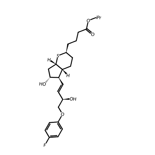 CC(C)OC(=O)CCC[C@H]1CC[C@@H]2[C@@H](/C=C/[C@@H](O)COc3ccc(F)cc3)[C@H](O)C[C@@H]2S1